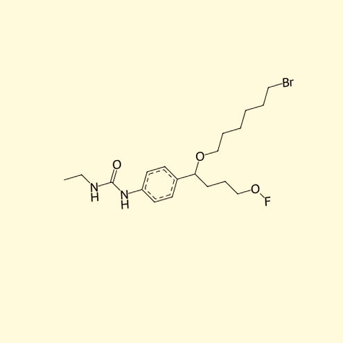 CCNC(=O)Nc1ccc(C(CCCOF)OCCCCCCBr)cc1